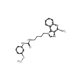 CSc1cccc(NC(=O)NCCCCn2cnc3c(N)nc4ccccc4c32)c1